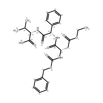 CCOC(=O)C[C@H](NC(=O)OCc1ccccc1)C(=O)N[C@H](C(=O)N[C@H](C(=O)O)C(C)C)c1ccccc1